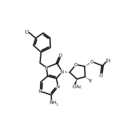 CCC(=O)O[C@H]1O[C@@H](n2c(=O)n(Cc3cccc(Cl)c3)c3cnc(N)nc32)[C@H](OC(C)=O)[C@H]1F